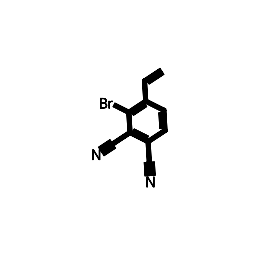 C=Cc1ccc(C#N)c(C#N)c1Br